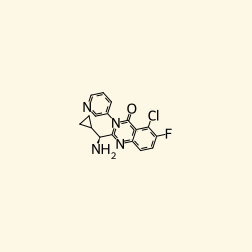 N[C@H](c1nc2ccc(F)c(Cl)c2c(=O)n1-c1cccnc1)C1CC1